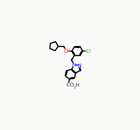 O=C(O)c1ccc2c(cnn2Cc2cc(Cl)ccc2OCC2CCCC2)c1